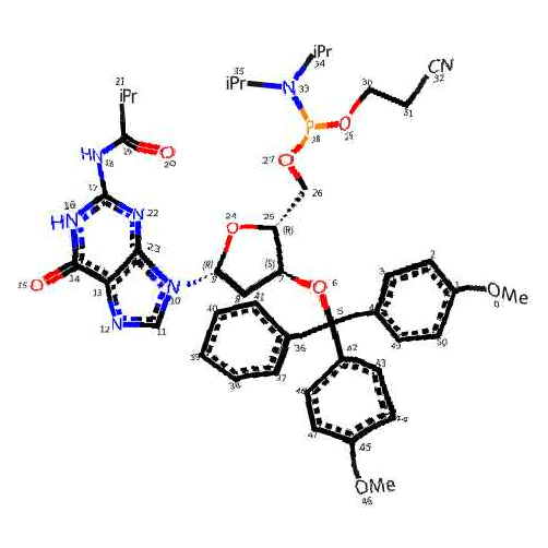 COc1ccc(C(O[C@H]2C[C@H](n3cnc4c(=O)[nH]c(NC(=O)C(C)C)nc43)O[C@@H]2COP(OCCC#N)N(C(C)C)C(C)C)(c2ccccc2)c2ccc(OC)cc2)cc1